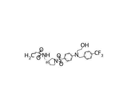 C=CS(=O)(=O)NC[C@H]1CCN(S(=O)(=O)c2ccc(N(CCO)Cc3ccc(C(F)(F)F)cc3)cc2)C1